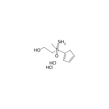 Cl.Cl.[CH3][Ti](=[O])(=[SiH2])([CH2]CO)[C]1=CC=CC1